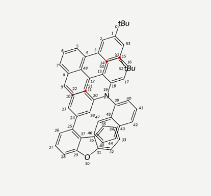 CC(C)(C)c1cc(-c2cccc3cccc(-c4ccccc4N(c4cccc(-c5cccc6oc7ccccc7c56)c4)c4cccc5ccccc45)c23)cc(C(C)(C)C)c1